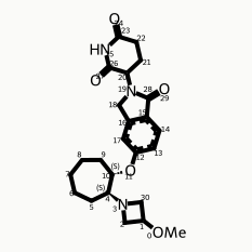 COC1CN([C@H]2CCCCC[C@@H]2Oc2ccc3c(c2)CN(C2CCC(=O)NC2=O)C3=O)C1